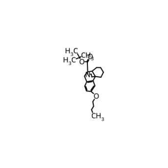 CCCCOc1ccc2c(c1)C13CCCCC1C(C2)N(C(=O)OC(C)(C)C)CC3